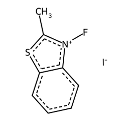 Cc1sc2ccccc2[n+]1F.[I-]